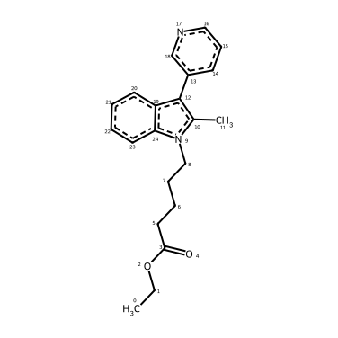 CCOC(=O)CCCCn1c(C)c(-c2cccnc2)c2ccccc21